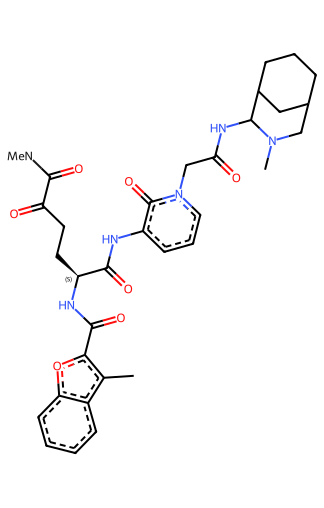 CNC(=O)C(=O)CC[C@H](NC(=O)c1oc2ccccc2c1C)C(=O)Nc1cccn(CC(=O)NC2C3CCCC(C3)CN2C)c1=O